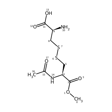 COC(=O)[C@H](CSSC[C@H](N)C(=O)O)NC(C)=O